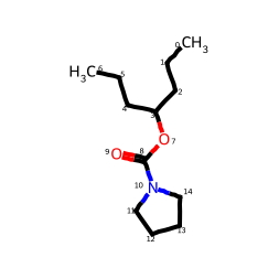 CCCC(CCC)OC(=O)N1CCCC1